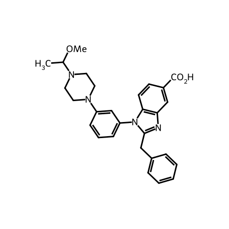 COC(C)N1CCN(c2cccc(-n3c(Cc4ccccc4)nc4cc(C(=O)O)ccc43)c2)CC1